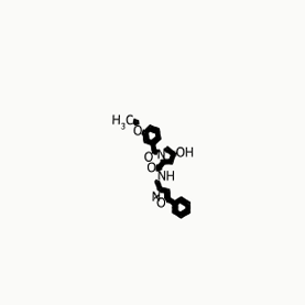 CCOc1cccc(C(=O)N2C[C@H](O)CC2C(=O)NCc2cc(-c3ccccc3)on2)c1